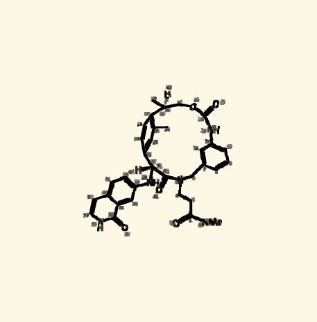 CNC(=O)CCN1Cc2cccc(c2)NC(=O)OC[C@H](C)c2ccc(cc2C)[C@@H](Nc2ccc3cc[nH]c(=O)c3c2)C1=O